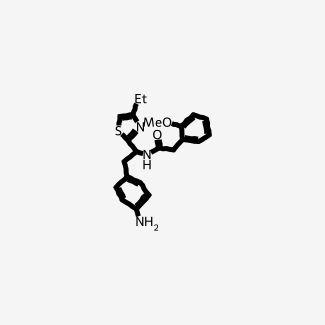 CCc1csc(C(Cc2ccc(N)cc2)NC(=O)Cc2ccccc2OC)n1